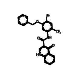 CC(C)c1cc(C(F)(F)F)c(NC(=O)c2c[nH]c3ccccc3c2=O)cc1OCc1ccccc1